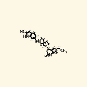 Cc1nc(N2CCC3(CCN(Cc4ccc5cc(C#N)[nH]c5c4)C3)C2)c2cn(CC(F)(F)F)nc2n1